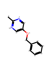 Cc1ncc(OCc2ccccc2)cn1